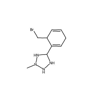 CN1NNC(C2=CCC=CC2CBr)N1